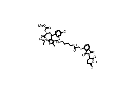 COC(=O)C[C@@H]1N=C(c2ccc(Cl)cc2)c2c(sc(C)c2C(=O)NCCCCNC(=O)COc2cccc3c2C(=O)N(C2CCC(=O)NC2=O)C3=O)-n2c(C)nnc21